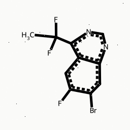 CC(F)(F)c1ncnc2cc(Br)c(F)cc12